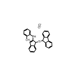 Cc1ccccc1PC1=Cc2ccccc2[CH]1[Ti+2][CH]1c2ccccc2-c2ccccc21.[Cl-].[Cl-]